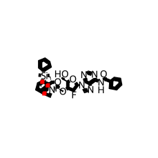 C[Si](C[C@@H]1O[P@@](OC2[C@@H](CO)O[C@@H](n3cnc4c(NC(=O)c5ccccc5)ncnc43)[C@H]2F)N2CCC[C@H]12)(c1ccccc1)c1ccccc1